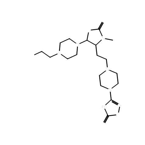 CN1C(=O)OC(N2CCN(CCC(=O)O)CC2)C1CCN1CCN(c2noc(=O)[nH]2)CC1